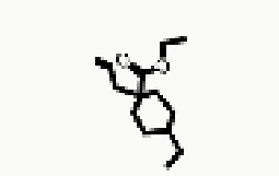 C=CCC1(C(=O)OCC)CCC(CC)CC1